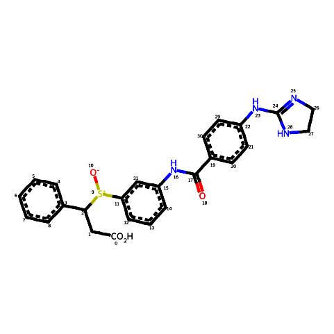 O=C(O)CC(c1ccccc1)[S+]([O-])c1cccc(NC(=O)c2ccc(NC3=NCCN3)cc2)c1